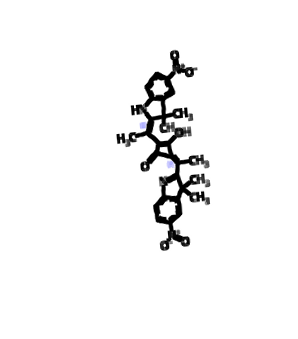 C/C(C1=Nc2ccc([N+](=O)[O-])cc2C1(C)C)=C1/C(=O)C(C(/C)=C2/Nc3ccc([N+](=O)[O-])cc3C2(C)C)=C1O